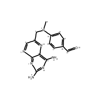 CN(Cc1cnc2nc(N)nc(N)c2n1)c1ccc(C=O)cc1